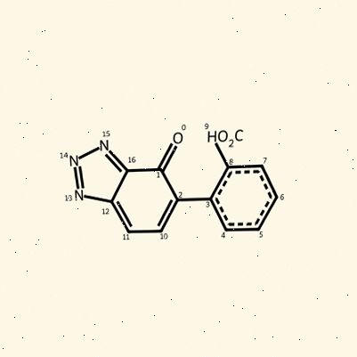 O=C1C(c2ccccc2C(=O)O)=CC=C2N=NN=C12